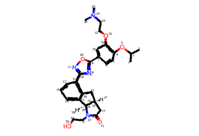 CC(C)Oc1ccc(-c2nc(-c3cccc4c3C[C@H]3CC(=O)N(CCO)[C@@H]43)no2)cc1OCCN(C)C